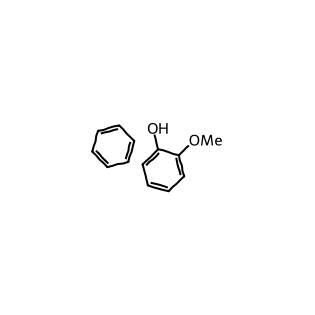 COc1ccccc1O.c1ccccc1